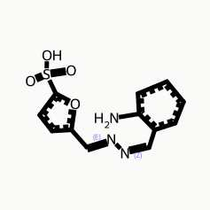 Nc1ccccc1/C=N\N=C\c1ccc(S(=O)(=O)O)o1